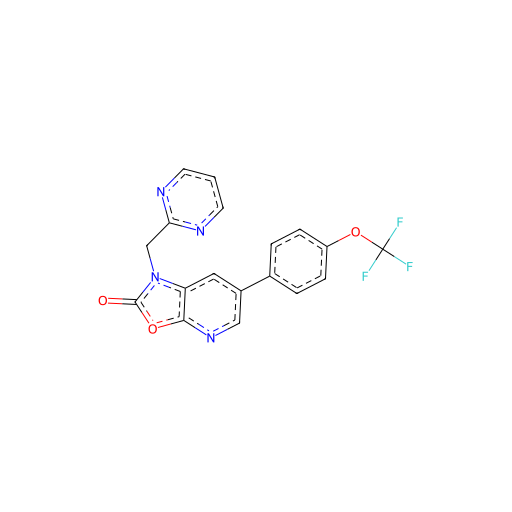 O=c1oc2ncc(-c3ccc(OC(F)(F)F)cc3)cc2n1Cc1ncccn1